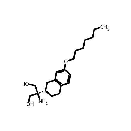 CCCCCCCOc1ccc2c(c1)C[C@@H](C(N)(CO)CO)CC2